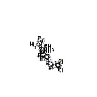 C[C@@H](NC(=O)c1ccc(/C(F)=C/C(c2cc(Cl)cc(Cl)c2)C(F)(F)F)cc1C(F)(F)F)C(=O)N(C)CC(F)(F)F